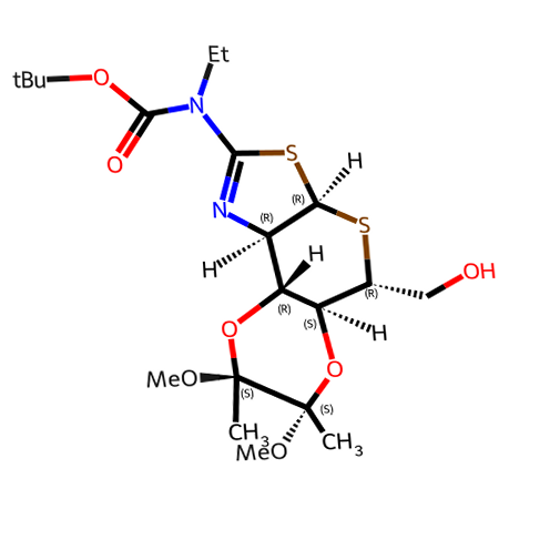 CCN(C(=O)OC(C)(C)C)C1=N[C@H]2[C@@H](S1)S[C@H](CO)[C@H]1O[C@](C)(OC)[C@@](C)(OC)O[C@H]21